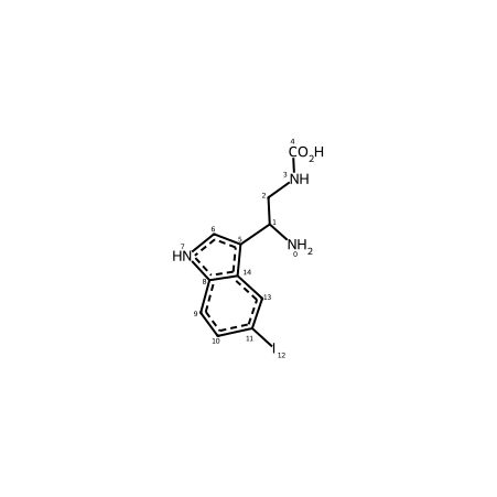 NC(CNC(=O)O)c1c[nH]c2ccc(I)cc12